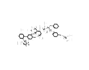 Cc1nc(C)c2c(OC(=O)NC(Cc3ccccc3)C(=O)Oc3cccc(CON(O)O)c3)cc(=O)n(Cc3ccc(-c4ccccc4-c4nnn[nH]4)cc3)c2n1